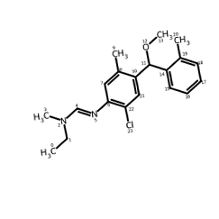 CCN(C)C=Nc1cc(C)c(C(OC)c2ccccc2C)cc1Cl